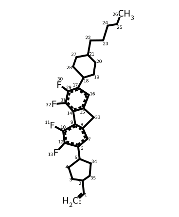 C=CC1CCC(c2cc3c(c(F)c2F)-c2c(cc(C4CCC(CCCCC)CC4)c(F)c2F)C3)CC1